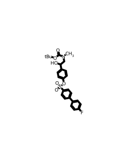 CN(CC(O)c1ccc(OS(=O)(=O)c2ccc(-c3ccc(F)cc3)cc2)cc1)C(=O)OC(C)(C)C